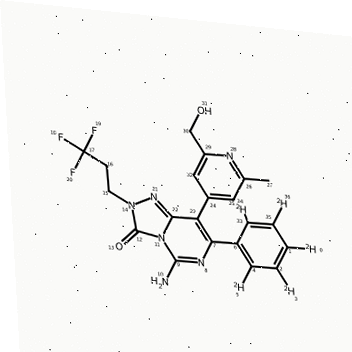 [2H]c1c([2H])c([2H])c(-c2nc(N)n3c(=O)n(CCC(F)(F)F)nc3c2-c2cc(C)nc(CO)c2)c([2H])c1[2H]